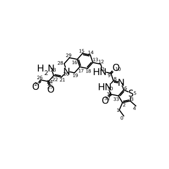 CCc1c(C)sc2nc(C(=O)NCc3ccc4c(c3)CN(/C=C(\N)C(=O)C=O)CC4)[nH]c(=O)c12